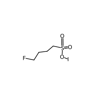 O=S(=O)(CCCCF)OI